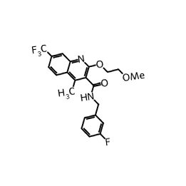 COCCOc1nc2cc(C(F)(F)F)ccc2c(C)c1C(=O)NCc1cccc(F)c1